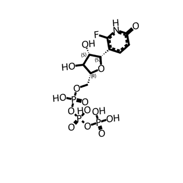 O=c1ccc([C@@H]2O[C@H](COP(=O)(O)OP(=O)(O)OP(=O)(O)O)C(O)[C@@H]2O)c(F)[nH]1